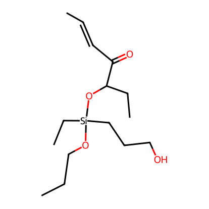 CC=CC(=O)C(CC)O[Si](CC)(CCCO)OCCC